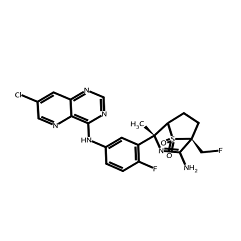 C[C@]1(c2cc(Nc3ncnc4cc(Cl)cnc34)ccc2F)N=C(N)[C@@]2(CF)CCC1S2(=O)=O